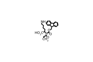 C=CC(=O)N(C(=O)OCC1c2ccccc2-c2ccccc21)C(CCCCN)C(=O)O